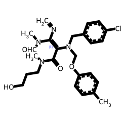 C=N/C(=C(/C(=O)N(C)CCCO)N(COc1ccc(C)cc1)Cc1ccc(Cl)cc1)N(C)C=O